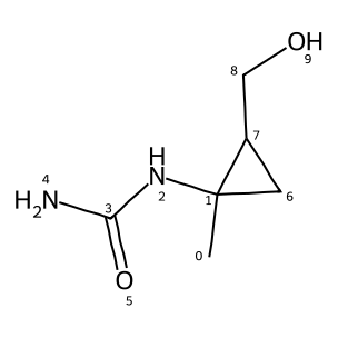 CC1(NC(N)=O)CC1CO